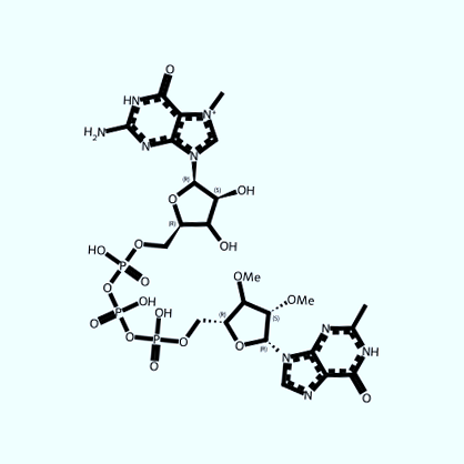 COC1[C@@H](COP(=O)(O)OP(=O)(O)OP(=O)(O)OC[C@H]2O[C@@H](n3c[n+](C)c4c(=O)[nH]c(N)nc43)[C@@H](O)C2O)O[C@@H](n2cnc3c(=O)[nH]c(C)nc32)[C@H]1OC